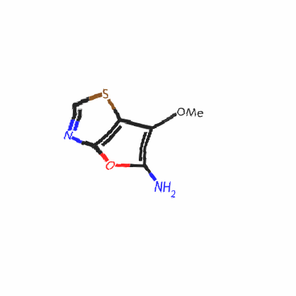 COc1c(N)oc2ncsc12